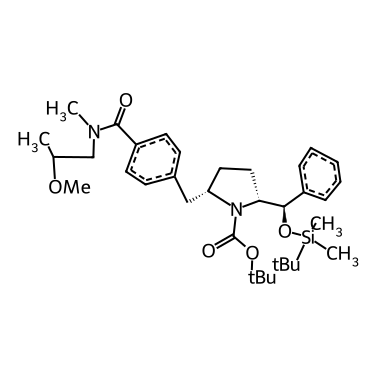 COC(C)CN(C)C(=O)c1ccc(C[C@@H]2CC[C@H]([C@H](O[Si](C)(C)C(C)(C)C)c3ccccc3)N2C(=O)OC(C)(C)C)cc1